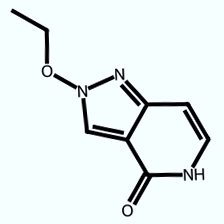 CCOn1cc2c(=O)[nH]ccc2n1